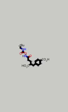 CC(C)(C)CNC(=O)ONC(=O)CCC(Cc1ccc(C(=O)O)cc1)C(=O)O